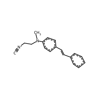 [C-]#[N+]CCN(C)c1ccc(/C=C/c2ccccc2)cc1